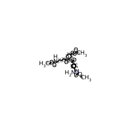 CCOC(=O)/N=C(\N)c1ccc(C(=O)NC2CC(OOC(C)=O)CCN2C(=O)CCCCNC(=O)OCC)cc1